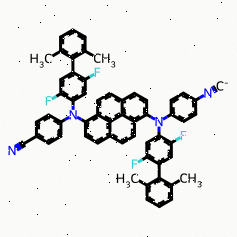 [C-]#[N+]c1ccc(N(c2cc(F)c(-c3c(C)cccc3C)cc2F)c2ccc3ccc4c(N(c5ccc(C#N)cc5)c5cc(F)c(-c6c(C)cccc6C)cc5F)ccc5ccc2c3c54)cc1